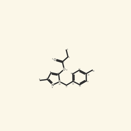 CCC(=O)Oc1cc(C)nn1Cc1ccc(C)cc1